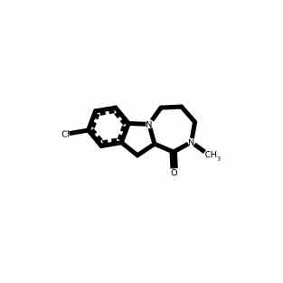 CN1CCCN2c3ccc(Cl)cc3CC2C1=O